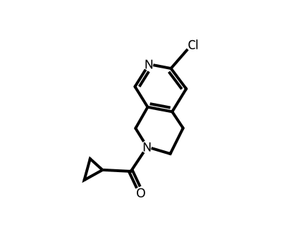 O=C(C1CC1)N1CCc2cc(Cl)ncc2C1